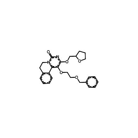 O=c1nc(OCC2CCCO2)c(OCCOCc2ccccc2)c2n1CCc1ccccc1-2